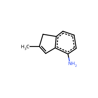 CC1=Cc2c(N)cccc2C1